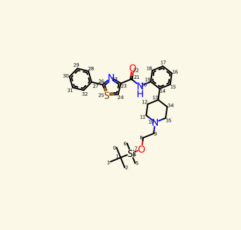 CC(C)(C)[Si](C)(C)OCCN1CCC(c2ccccc2NC(=O)c2csc(-c3ccccc3)n2)CC1